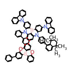 CC1(C)CCC(C)(C)c2c(-c3ccc(N4c5cc(-n6c7ccccc7c7ccccc76)ccc5B5c6ccc(-n7c8ccccc8c8ccccc87)cc6N(c6ccccc6-c6ccccc6)c6cc(-c7cc8c9c(c7)Oc7cc(-c%10ccccc%10)ccc7B9c7ccccc7O8)cc4c65)cc3)cccc21